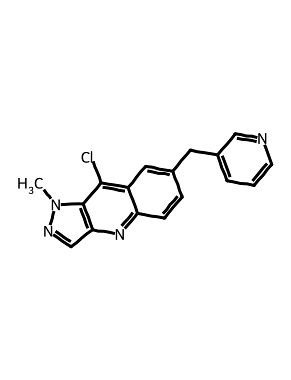 Cn1ncc2nc3ccc(Cc4cccnc4)cc3c(Cl)c21